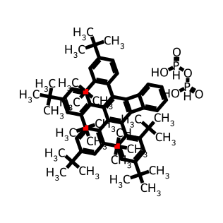 CC(C)(C)c1ccc(-c2c3c(c(-c4ccc(C(C)(C)C)cc4C(C)(C)C)c(-c4ccc(C(C)(C)C)cc4C(C)(C)C)c2-c2ccc(C(C)(C)C)cc2C(C)(C)C)-c2ccccc2-3)c(C(C)(C)C)c1.O=[PH](O)O[PH](=O)O